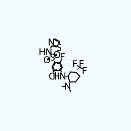 CN(C)[C@H]1CC[C@@H](C(F)(F)F)C[C@@H]1Nc1cc(F)c(S(=O)(=O)Nc2nccs2)cc1Cl